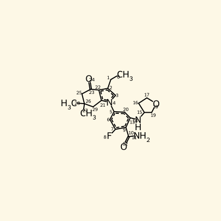 CCc1cn(-c2cc(F)c(C(N)=O)c(NC3CCOC3)c2)c2c1C(=O)CC(C)(C)C2